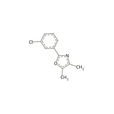 [CH2]c1nc(-c2cccc(Cl)c2)oc1C